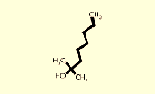 CC[CH]CCCC(C)(C)O